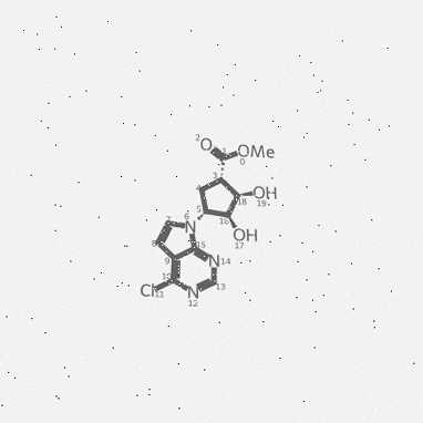 COC(=O)[C@H]1C[C@@H](n2ccc3c(Cl)ncnc32)[C@H](O)[C@@H]1O